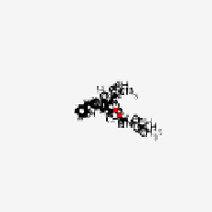 CCC1(OC(=O)CCNC(=O)OC(C)(C)C)C(=O)OC(CC[Si](C)(C)C)c2c1cc1n(c2=O)Cc2cc3ccccc3nc2-1